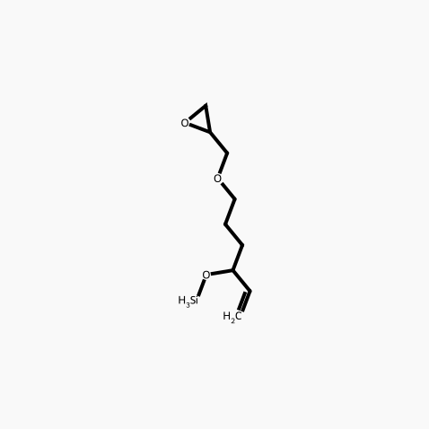 C=CC(CCCOCC1CO1)O[SiH3]